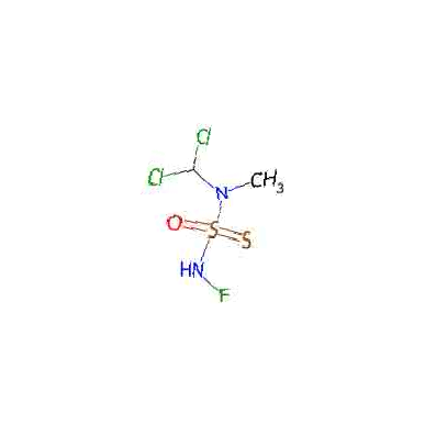 CN(C(Cl)Cl)S(=O)(=S)NF